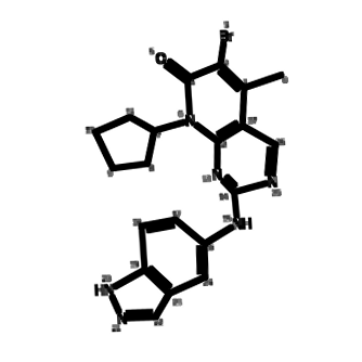 Cc1c(Br)c(=O)n(C2CCCC2)c2nc(Nc3ccc4[nH]ncc4c3)ncc12